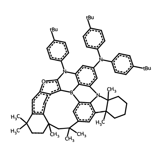 CC(C)(C)c1ccc(N(c2ccc(C(C)(C)C)cc2)c2cc3c4c(c2)N2c5c6cc(cc5C5(C)CCCCC25C)C(C)(C)CC2(C)CCC(C)(C)c5cc7oc(c(c7cc52)B64)N3c2ccc(C(C)(C)C)cc2)cc1